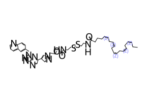 CC/C=C\C/C=C\C/C=C\C/C=C\C/C=C\CCCC(=O)NCCSSCCNC(=O)OCCn1cc(-c2cnc3nnn(Cc4ccc5ncccc5c4)c3n2)cn1